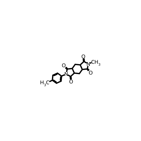 Cc1ccc(N2C(=O)C3CC4C(=O)N(C)C(=O)C4CC3C2=O)cc1